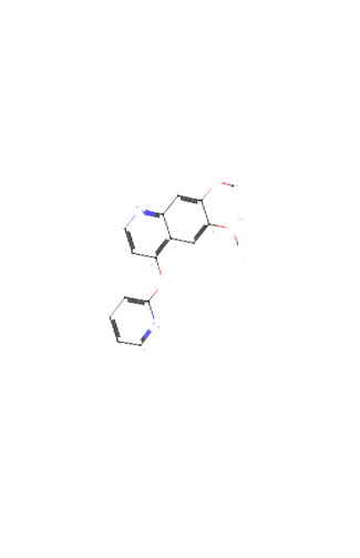 COc1cc2nccc(Oc3ccccn3)c2cc1OC